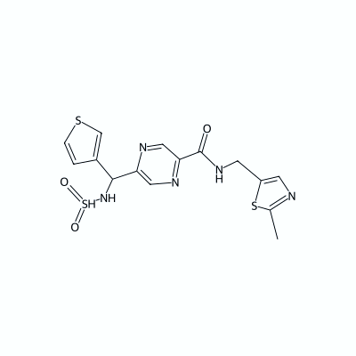 Cc1ncc(CNC(=O)c2cnc(C(N[SH](=O)=O)c3ccsc3)cn2)s1